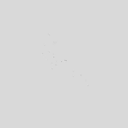 Cc1ncnc2c1ccn2[C@@H]1O[C@@H](C(=O)C#CCO[Si](C)(C)C(C)(C)C)[C@H]2OC(C)(C)O[C@H]21